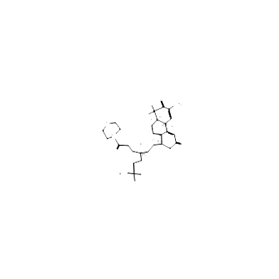 CCCC(C)(C)CC[C@](C)(CCC(=O)N1CCNCC1)CC[C@]1(C)CC(=O)C=C2[C@@]3(C)C=C(C#N)C(=O)C(C)(C)[C@@H]3CC[C@]21C